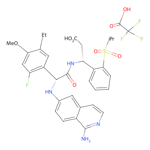 CCc1cc([C@@H](Nc2ccc3c(N)nccc3c2)C(=O)N[C@H](CC(=O)O)c2ccccc2S(=O)(=O)C(C)C)c(F)cc1OC.O=C(O)C(F)(F)F